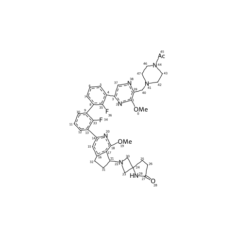 COc1nc(-c2cccc(-c3cccc(-c4cc5c(c(OC)n4)C(N4CC6(CCC(=O)N6)C4)CC5)c3F)c2F)cnc1CN1CCN(C(C)=O)CC1